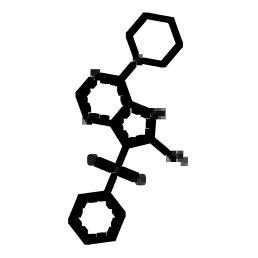 Nc1[nH]c2c(N3CCCCC3)ncnc2c1S(=O)(=O)c1ccccc1